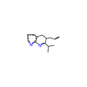 C=CCC1Cc2cccnc2N=C1C(C)C